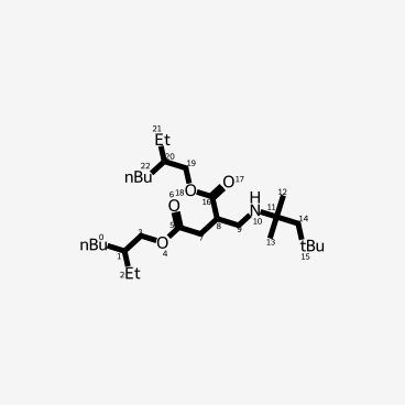 CCCCC(CC)COC(=O)CC(CNC(C)(C)CC(C)(C)C)C(=O)OCC(CC)CCCC